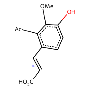 COc1c(O)ccc(/C=C/C(=O)O)c1C(C)=O